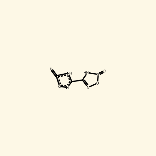 O=S1NC(c2noc(=S)[nH]2)=NO1